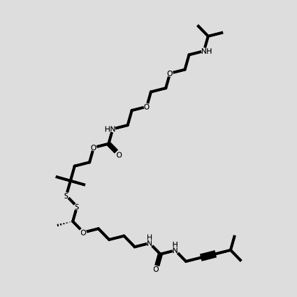 CC(C)C#CCNC(=O)NCCCCO[C@H](C)SSC(C)(C)CCOC(=O)NCCOCCOCCNC(C)C